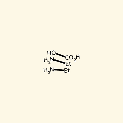 CCN.CCN.O=C(O)O